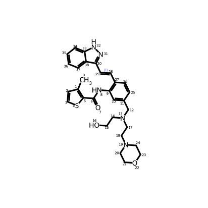 Cc1ccsc1C(=O)Nc1cc(CN(CCO)CCN2CCOCC2)ccc1/C=C/c1n[nH]c2ccccc12